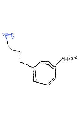 CCCCCCc1cccc(CCCN)c1